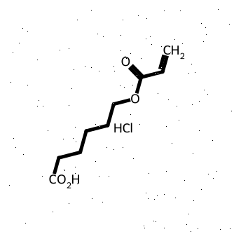 C=CC(=O)OCCCCCC(=O)O.Cl